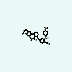 CC(C)c1nn(-c2ccc(C#N)c(NC3CCC(O)CC3)c2)c2nccc(-c3ccc4c(ccn4C)c3)c12